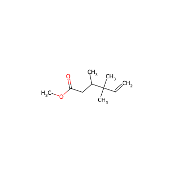 C=CC(C)(C)C(C)CC(=O)OC